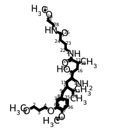 COCCCOc1cc(CC(CC(N)C(O)CC(C)C(=O)NCCCC(=O)NCCOC)C(C)C)ccc1OC